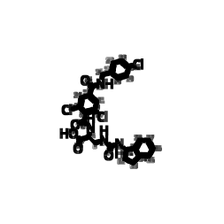 O=C(NC[C@H](NC(=O)c1c(Cl)cc(C(=O)NCc2ccc(Cl)cc2)cc1Cl)C(=O)O)N[C@@H]1CCc2ccccc21